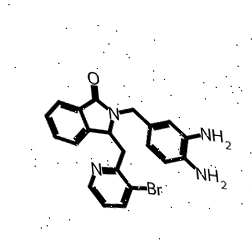 Nc1ccc(CN2C(=O)c3ccccc3C2Cc2ncccc2Br)cc1N